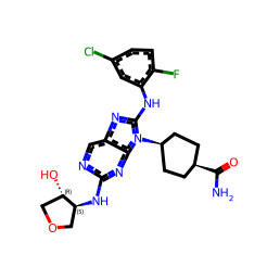 NC(=O)[C@H]1CC[C@@H](n2c(Nc3cc(Cl)ccc3F)nc3cnc(N[C@H]4COC[C@@H]4O)nc32)CC1